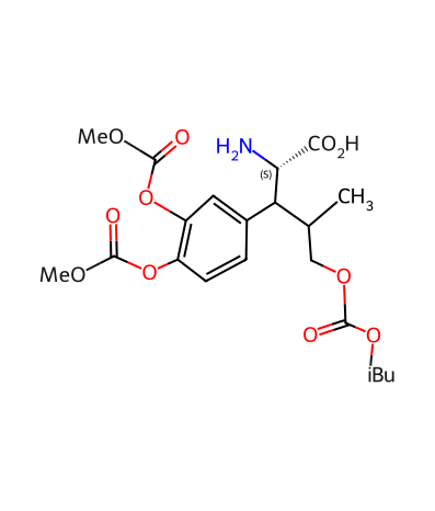 CCC(C)OC(=O)OCC(C)C(c1ccc(OC(=O)OC)c(OC(=O)OC)c1)[C@H](N)C(=O)O